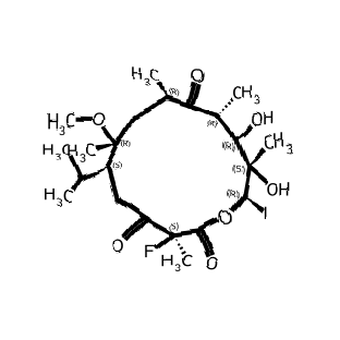 CO[C@]1(C)C[C@@H](C)C(=O)[C@H](C)[C@@H](O)[C@](C)(O)[C@@H](I)OC(=O)[C@@](C)(F)C(=O)C[C@H]1C(C)C